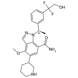 COc1c(C2CCCNC2)cc(C(N)=O)c2c1cnn2[C@H](C)c1cccc(C(F)(F)CO)c1